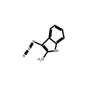 [N-]=[N+]=Nc1c(N)[nH]c2ccccc12